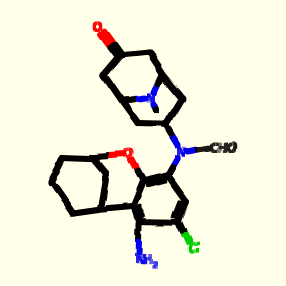 CN1C2CC(=O)CC1CC(N(C=O)c1cc(Cl)c(N)c3c1OC1CCCC3C1)C2